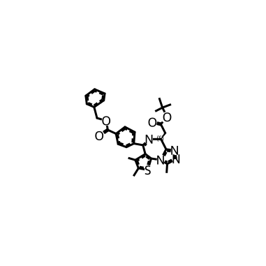 Cc1sc2c(c1C)C(c1ccc(C(=O)OCc3ccccc3)cc1)=N[C@@H](CC(=O)OC(C)(C)C)c1nnc(C)n1-2